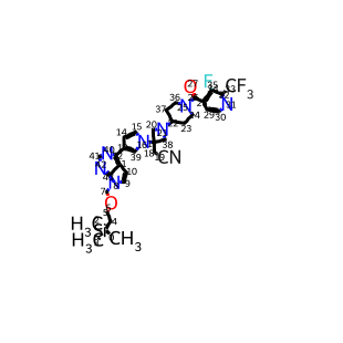 C[Si](C)(C)CCOCn1ccc2c(-c3ccn(C4(CC#N)CN(C5CCN(C(=O)c6ccnc(C(F)(F)F)c6F)CC5)C4)c3)ncnc21